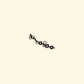 C=CC(=O)OCCCCOc1ccc(C(=O)Oc2ccc(-c3ccc(C)cc3)cc2)cc1